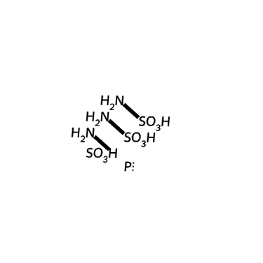 NS(=O)(=O)O.NS(=O)(=O)O.NS(=O)(=O)O.[P]